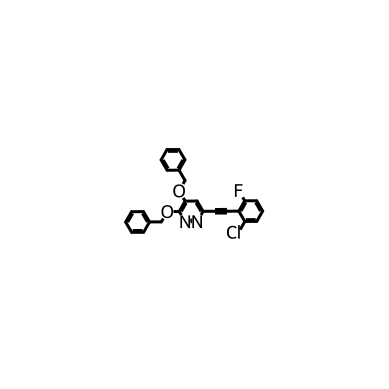 Fc1cccc(Cl)c1C#Cc1cc(OCc2ccccc2)c(OCc2ccccc2)nn1